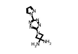 NC1(N)CN(c2nnc(-n3cccn3)nn2)C1